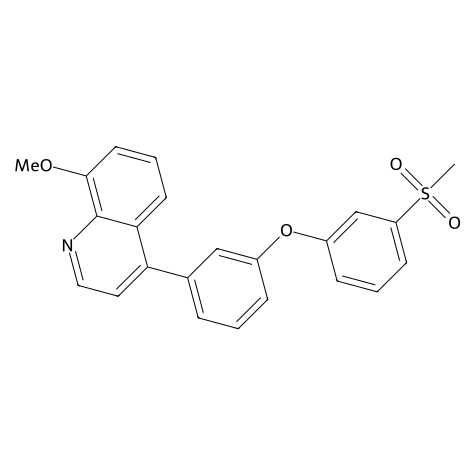 COc1cccc2c(-c3cccc(Oc4cccc(S(C)(=O)=O)c4)c3)ccnc12